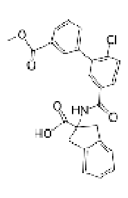 COC(=O)c1cccc(-c2cc(C(=O)NC3(C(=O)O)Cc4ccccc4C3)ccc2Cl)c1